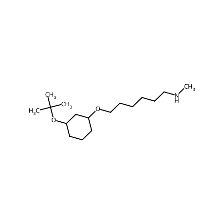 CNCCCCCCOC1CCCC(OC(C)(C)C)C1